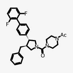 CC(=O)N1CCN(C(=O)N2C[C@@H](Cc3ccccc3)[C@H](c3ccc(-c4c(F)cccc4F)cc3)C2)CC1